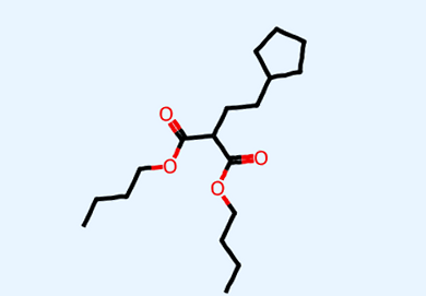 CCCCOC(=O)C(CCC1CCCC1)C(=O)OCCCC